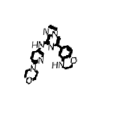 c1cn2cc(-c3ccc4c(c3)NCCO4)nc(Nc3ccc(N4CCOCC4)nc3)c2n1